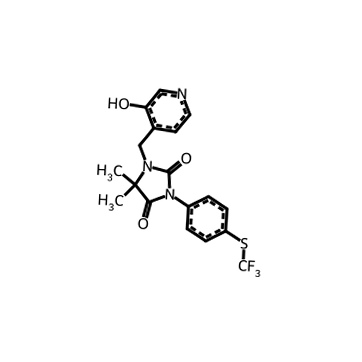 CC1(C)C(=O)N(c2ccc(SC(F)(F)F)cc2)C(=O)N1Cc1ccncc1O